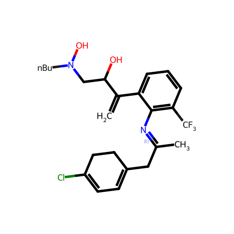 C=C(c1cccc(C(F)(F)F)c1/N=C(\C)CC1=CC=C(Cl)CC1)C(O)CN(O)CCCC